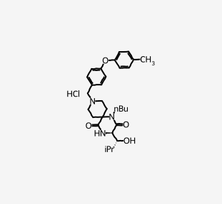 CCCCN1C(=O)[C@@H]([C@H](O)C(C)C)NC(=O)C12CCN(Cc1ccc(Oc3ccc(C)cc3)cc1)CC2.Cl